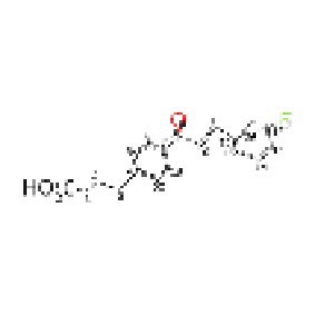 O=C(O)CCCc1ccc(C(=O)C=Cc2cccc(F)c2)cc1